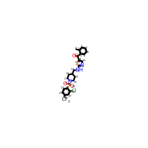 Cc1ccccc1C(=O)c1cnc(NCC2CCN(S(=O)(=O)c3ccc(C(F)(F)F)cc3Cl)CC2)s1